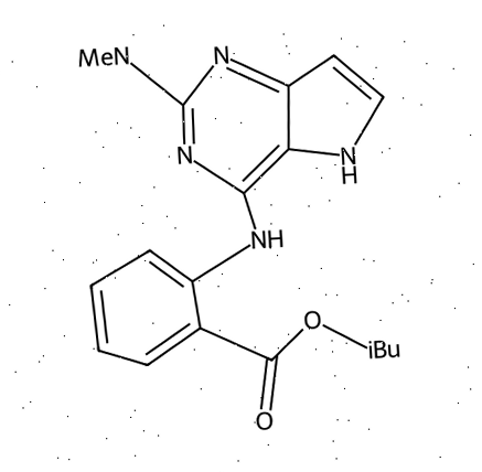 CCC(C)OC(=O)c1ccccc1Nc1nc(NC)nc2cc[nH]c12